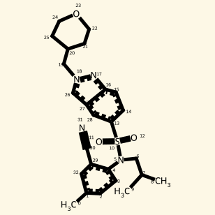 Cc1ccc(N(CC(C)C)S(=O)(=O)c2ccc3nn(CC4CCOCC4)cc3c2)c(C#N)c1